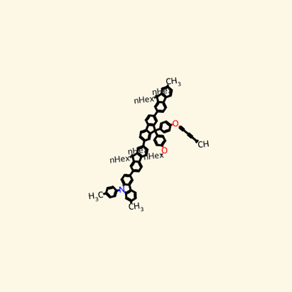 C#CC#CC#COc1ccc(C2(c3ccc(OCCCCCC)cc3)c3cc(-c4ccc5c(c4)C(CCCCCC)(CCCCCC)c4cc(C)ccc4-5)ccc3-c3ccc(-c4ccc5c(c4)C(CCCCCC)(CCCCCC)c4cc(-c6ccc7c(c6)c6ccc(C)cc6n7-c6ccc(C)cc6)ccc4-5)cc32)cc1